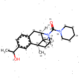 CC(O)c1ccc2c(c1)[C@]1(C)CCN(C(=O)N3CCCCC3)[C@H](C2)C1(C)C